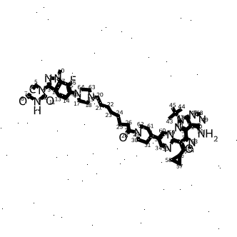 Cn1nc(N2CCC(=O)NC2=O)c2ccc(N3CCN(CCCCCCCC(=O)N4CCC(c5cnc(-c6c(-c7nn(C(C)(C)C)c8ncnc(N)c78)noc6C6CC6)nc5)CC4)CC3)c(F)c21